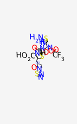 Nc1nc(/C(=N/OC(=O)C(F)(F)F)C(=O)N[C@@H]2C(=O)N3C(C(=O)O)=C(/C=C4\CCN(c5nncs5)C4=O)CS[C@H]23)cs1